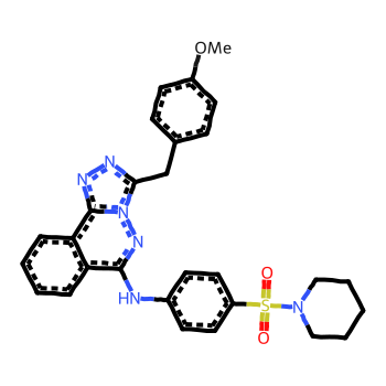 COc1ccc(Cc2nnc3c4ccccc4c(Nc4ccc(S(=O)(=O)N5CCCCC5)cc4)nn23)cc1